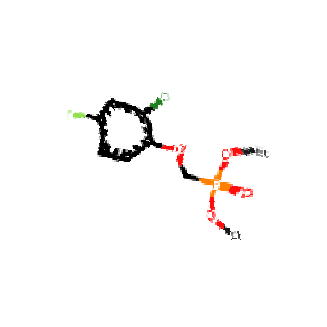 CCOP(=O)(COc1c[c]c(F)cc1Cl)OCC